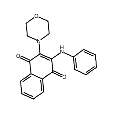 O=C1C(Nc2ccccc2)=C(N2CCOCC2)C(=O)c2ccccc21